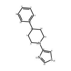 c1ccc(C2CCN(c3cscn3)CC2)cc1